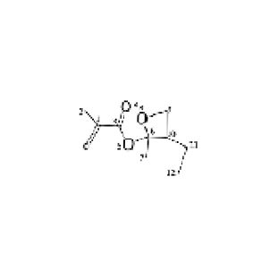 C=C(C)C(=O)OC1(C)OCC1CC